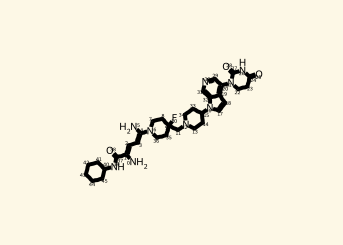 N/C(=C\C=C(/N)N1CCC(F)(CN2CCC(n3ccc4c(N5CCC(=O)NC5=O)cncc43)CC2)CC1)C(=O)NC1CCCCC1